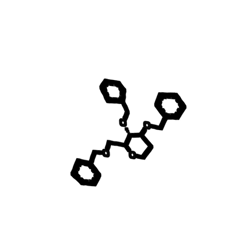 c1ccc(COCC2OCCC(OCc3ccccc3)[C@H]2OCc2ccccc2)cc1